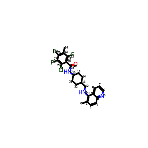 Cc1ccc2ncccc2c1NCC1CCC(NC(=O)c2c(F)c(C)c(F)c(F)c2Cl)CC1